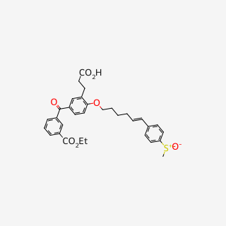 CCOC(=O)c1cccc(C(=O)c2ccc(OCCCCC=Cc3ccc([S+](C)[O-])cc3)c(CCC(=O)O)c2)c1